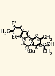 C=C/C(F)=C\c1cc2n(c1CC)CC(C(C)(C)C)N1C=C(C(=C)O)C(=C)C=C21